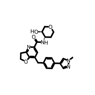 Cn1cc(-c2ccc(Cc3cc(C(=O)N[C@H]4CCOC[C@@H]4O)nc4c3OCC4)cc2)cn1